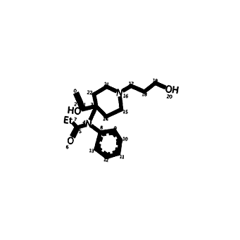 C=C(O)C1(N(C(=O)CC)c2ccccc2)CCN(CCCO)CC1